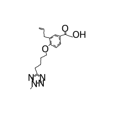 C=CCc1cc(C(=O)CO)ccc1OCCCCc1nnn(C)n1